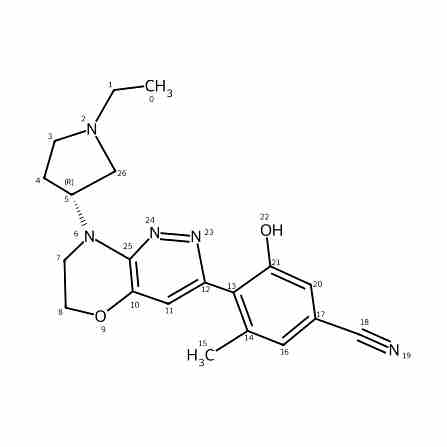 CCN1CC[C@@H](N2CCOc3cc(-c4c(C)cc(C#N)cc4O)nnc32)C1